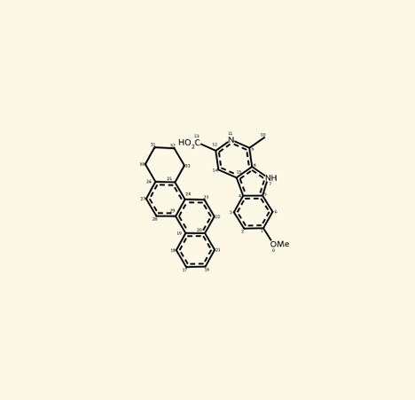 COc1ccc2c(c1)[nH]c1c(C)nc(C(=O)O)cc12.c1ccc2c(c1)ccc1c3c(ccc12)CCCC3